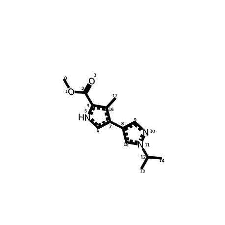 COC(=O)c1[nH]cc(-c2cnn(C(C)C)c2)c1C